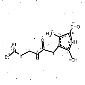 CCN(CC)CCNC(=O)Cc1c(C)[nH]c(C=O)c1C